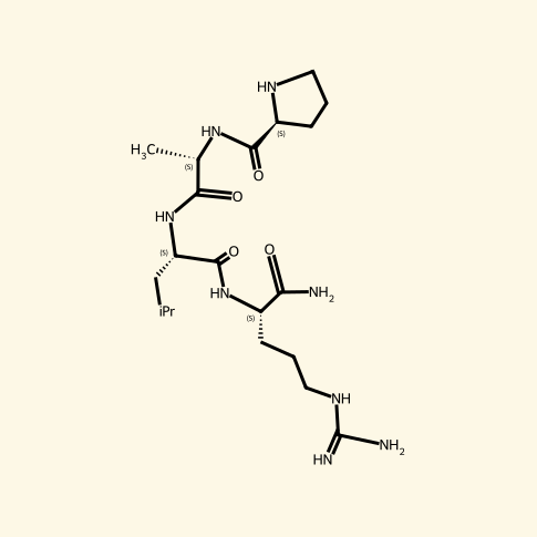 CC(C)C[C@H](NC(=O)[C@H](C)NC(=O)[C@@H]1CCCN1)C(=O)N[C@@H](CCCNC(=N)N)C(N)=O